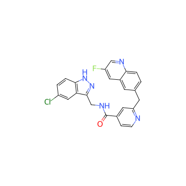 O=C(NCc1n[nH]c2ccc(Cl)cc12)c1ccnc(Cc2ccc3ncc(F)cc3c2)c1